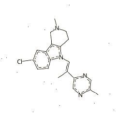 C/C(=C\n1c2c(c3cc(Cl)ccc31)CN(C)CC2)c1cnc(C)cn1